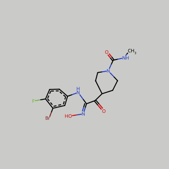 CNC(=O)N1CCC(C(=O)/C(=N/O)Nc2ccc(F)c(Br)c2)CC1